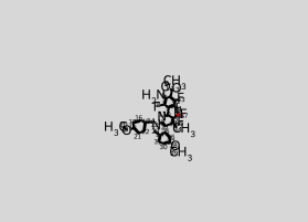 COC(=O)c1c(N)c(F)c(-c2nc(N(Cc3ccc(OC)cc3)Cc3ccc(OC)cc3)cc(C)c2C(F)(F)F)c(I)c1F